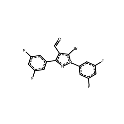 O=Cc1c(-c2cc(F)cc(F)c2)nn(-c2cc(F)cc(F)c2)c1Br